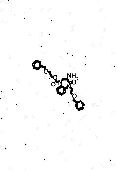 N[C@H]1CN(C(=O)OCCOCc2ccccc2)c2ccccc2N(CCOCC2=CC=CCC2)C1=O